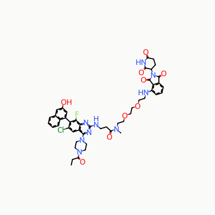 CCC(=O)N1CCN(c2nc(NCCC(=O)N(C)CCOCCOCCNc3cccc4c3C(=O)N(C3CCC(=O)NC3=O)C4=O)nc3c(F)c(-c4cc(O)cc5ccccc45)c(Cl)cc23)CC1